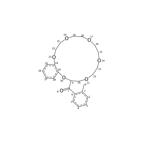 Cc1ccccc1C(=O)C1COCCOCCOCCOCCOc2ccccc2O1